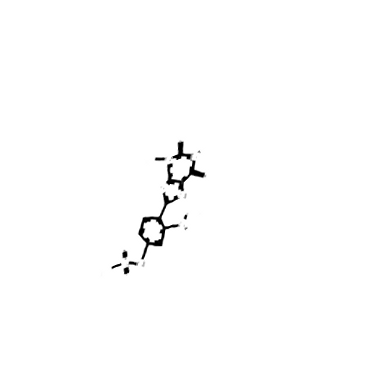 CN(C)c1cc(NS(C)(=O)=O)ccc1-c1nc2c([nH]1)c(=O)n(C)c(=O)n2C